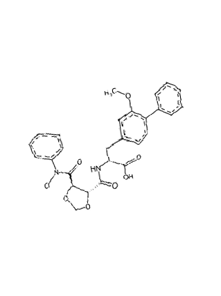 COc1cc(CC(NC(=O)[C@@H]2OCO[C@H]2C(=O)N(Cl)c2ccccc2)C(=O)O)ccc1-c1ccccc1